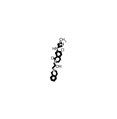 Cn1cc(Nc2cc3c(cc2Cl)CCN(CC(O)CN2CCc4ccccc4C2)C3=O)cn1